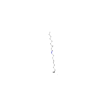 CCCCCCC(O)C/C=C/CCCCCCCC(=O)OC